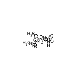 COCc1nocc1C(=O)N[C@H](C(=O)Nc1cc2c(cn1)C1(CCOCC1)C(=O)N2)[C@H]1CC[C@H](C)CC1